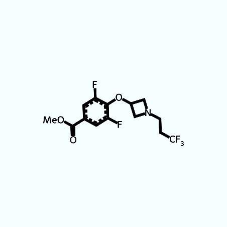 COC(=O)c1cc(F)c(OC2CN(CCC(F)(F)F)C2)c(F)c1